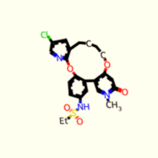 CCS(=O)(=O)Nc1ccc2c(c1)-c1cn(C)c(=O)cc1OCCCCc1cc(Cl)cnc1O2